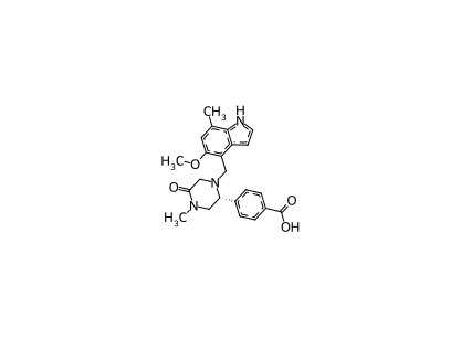 COc1cc(C)c2[nH]ccc2c1CN1CC(=O)N(C)C[C@H]1c1ccc(C(=O)O)cc1